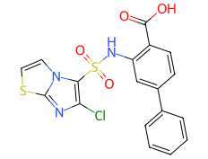 O=C(O)c1ccc(-c2ccccc2)cc1NS(=O)(=O)c1c(Cl)nc2sccn12